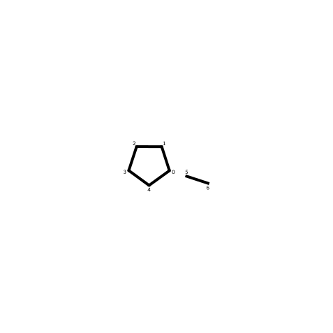 C1CCCC1.CC